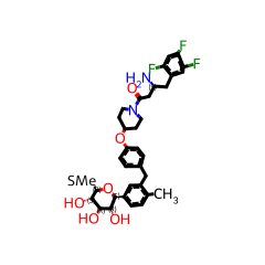 CS[C@H]1O[C@@H](c2ccc(C)c(Cc3ccc(OC4CCN(C(=O)C[C@@H](N)Cc5cc(F)c(F)cc5F)CC4)cc3)c2)[C@H](O)[C@@H](O)[C@@H]1O